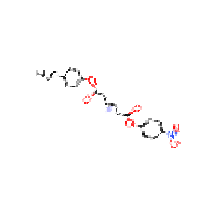 Cc1ccc(OC(=O)C/C=C/CC(=O)Oc2ccc([N+](=O)[O-])cc2)cc1